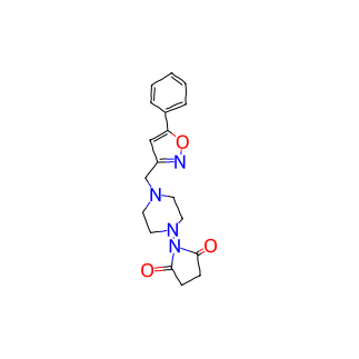 O=C1CCC(=O)N1N1CCN(Cc2cc(-c3ccccc3)on2)CC1